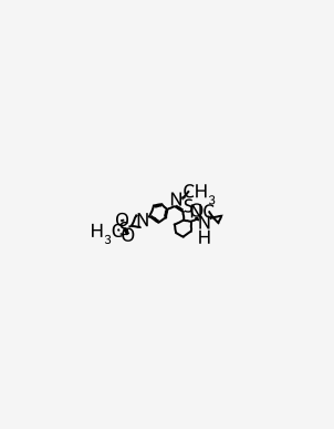 Cc1nc(-c2ccc(N3CC(S(C)(=O)=O)C3)cc2)c(C2CCCCC2C(=O)NC2(C#N)CC2)s1